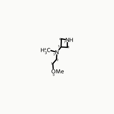 COCCN(C)C1CNC1